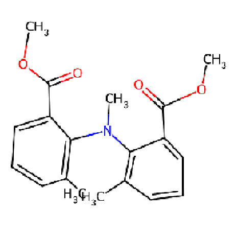 COC(=O)c1cccc(C)c1N(C)c1c(C)cccc1C(=O)OC